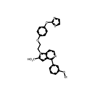 CCOc1cccc(-c2nccc3c2cc(C(=O)O)n3CCOc2ccc(Oc3nccs3)cc2)c1